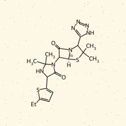 CCc1ccc(C2NC(C)(C)N(C3C(=O)N4C(c5nnn[nH]5)C(C)(C)S[C@@H]34)C2=O)s1